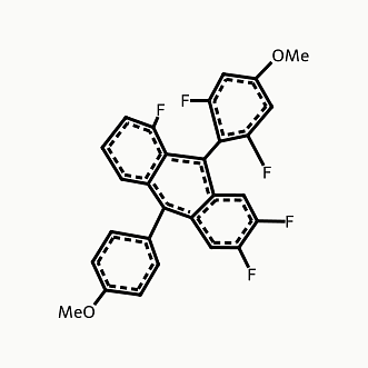 COc1ccc(-c2c3cc(F)c(F)cc3c(-c3c(F)cc(OC)cc3F)c3c(F)cccc23)cc1